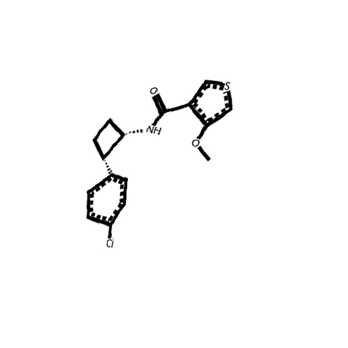 COc1cscc1C(=O)N[C@H]1CC[C@H]1c1ccc(Cl)cc1